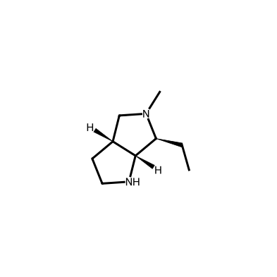 CC[C@H]1[C@@H]2NCC[C@@H]2CN1C